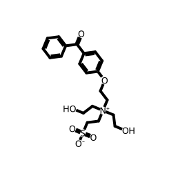 O=C(c1ccccc1)c1ccc(OCC[N+](CCO)(CCO)CCS(=O)(=O)[O-])cc1